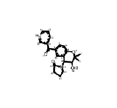 CC1(C)Oc2ccc(C(=O)c3cccnc3)cc2C(N2CCCC2=O)C1O